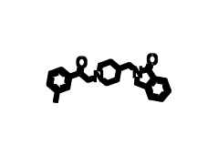 Cc1cccc(C(=O)CN2CCC(CN3Cc4ccccc4C3=O)CC2)c1